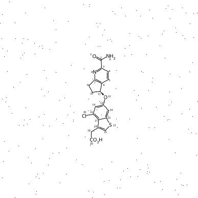 NC(=O)c1ccc2c(n1)CC[C@@H]2Oc1cc(Cl)c2c(CC(=O)O)csc2c1